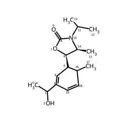 CC(O)C1=CC([C@H]2OC(=O)N(C(C)C)[C@H]2C)C(C)C=C1